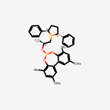 COc1cc(C(C)(C)C)c2op(O[C@H](CP3[C@@H](c4ccccc4)CC[C@@H]3c3ccccc3)C(F)(F)F)oc3c(C(C)(C)C)cc(OC)cc3c2c1